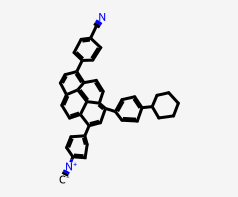 [C-]#[N+]c1ccc(-c2cc(-c3ccc(C4CCCCC4)cc3)c3ccc4c(-c5ccc(C#N)cc5)ccc5ccc2c3c54)cc1